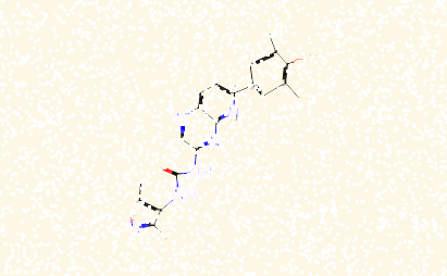 Cc1cc(-c2ccc3ncc(NC(=O)Nc4c(C)noc4C)nc3n2)cc(C)c1O